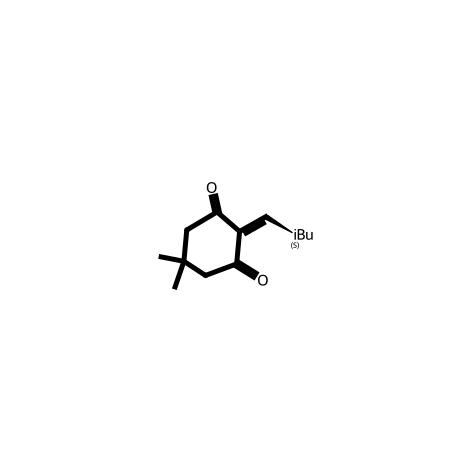 [CH2]C[C@H](C)C=C1C(=O)CC(C)(C)CC1=O